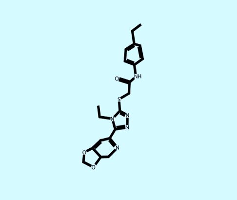 CCc1ccc(NC(=O)CSc2nnc(C3=NCC4OCOC4=C3)n2CC)cc1